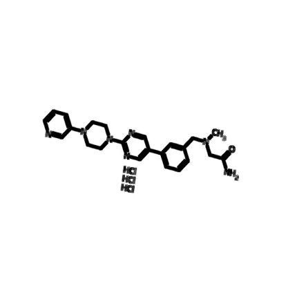 CN(CC(N)=O)Cc1cccc(-c2cnc(N3CCN(c4cccnc4)CC3)nc2)c1.Cl.Cl.Cl